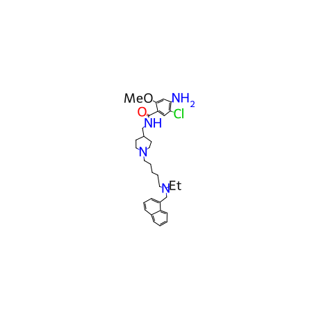 CCN(CCCCCN1CCC(CNC(=O)c2cc(Cl)c(N)cc2OC)CC1)Cc1cccc2ccccc12